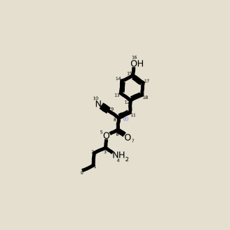 CCCC(N)OC(=O)/C(C#N)=C/c1ccc(O)cc1